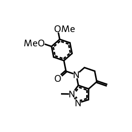 C=C1CCN(C(=O)c2ccc(OC)c(OC)c2)c2c1cnn2C